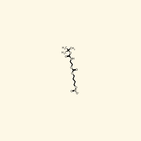 CC(C)(C)OC(=O)NCCOC(=O)OCCCCO[N+](=O)[O-]